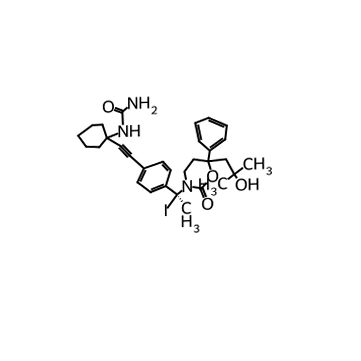 CC(C)(O)CC1(c2ccccc2)CCN([C@@](C)(I)c2ccc(C#CC3(NC(N)=O)CCCCC3)cc2)C(=O)O1